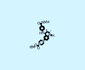 CNC(=O)c1ccc(N[C@H]2c3cc(N4CCN(C(=O)OC(C)(C)C)CC4)ccc3N(C(C)=O)[C@@H](C)[C@@H]2C)cc1